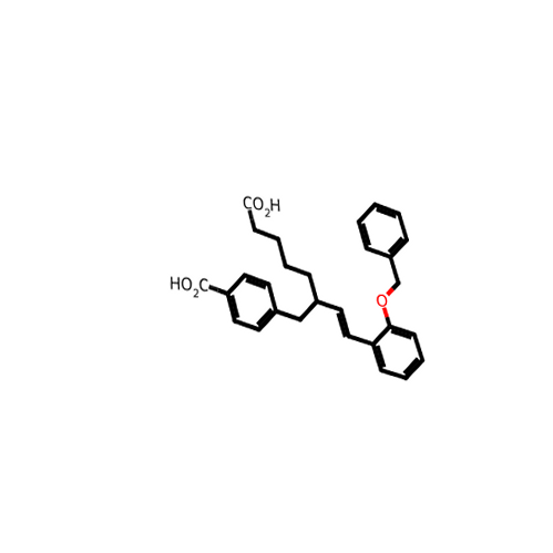 O=C(O)CCCCC(/C=C/c1ccccc1OCc1ccccc1)Cc1ccc(C(=O)O)cc1